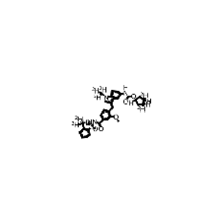 [2H]C1(OC(=O)Nc2ccc3c(c2)c(Cc2ccc(C(=O)NS(=O)(=O)c4ccccc4C([2H])([2H])[2H])cc2OC)cn3C([2H])([2H])[2H])CC([2H])([2H])C([2H])([2H])C1